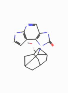 CO[C@]12CC3CC(C1)[C@H](n1c(=O)[nH]c4cnc5[nH]ccc5c41)C(C3)C2